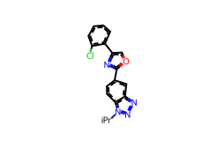 CC(C)n1nnc2cc(-c3nc(-c4ccccc4Cl)co3)ccc21